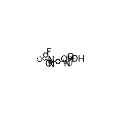 O=C(O)[C@H]1CCCN(CC(O)c2ccc(-c3noc(/C=C/C4(c5ccc(F)cc5)CCCCC4)n3)cc2)C1